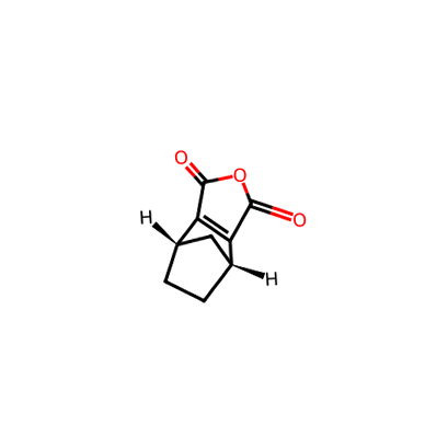 O=C1OC(=O)C2=C1[C@@H]1CC[C@H]2C1